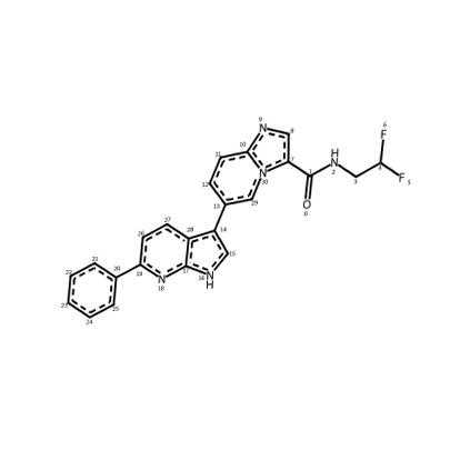 O=C(NCC(F)F)c1cnc2ccc(-c3c[nH]c4nc(-c5ccccc5)ccc34)cn12